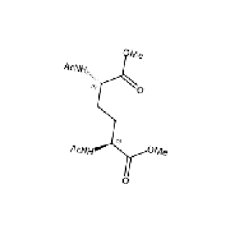 COC(=O)[C@H](CC[C@H](NC(C)=O)C(=O)OC)NC(C)=O